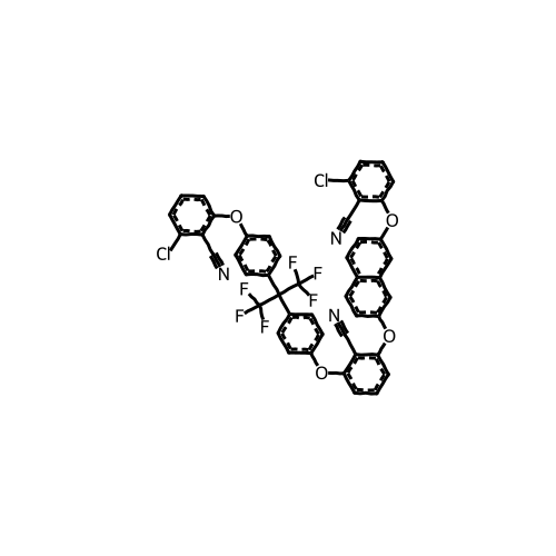 N#Cc1c(Cl)cccc1Oc1ccc(C(c2ccc(Oc3cccc(Oc4ccc5ccc(Oc6cccc(Cl)c6C#N)cc5c4)c3C#N)cc2)(C(F)(F)F)C(F)(F)F)cc1